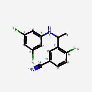 CC(Nc1cc(F)[c]c(F)c1)c1cc(C#N)ccc1F